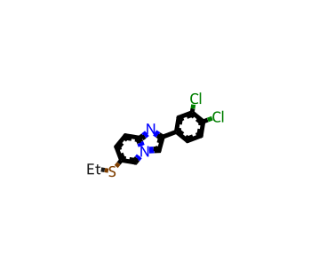 CCSc1ccc2nc(-c3ccc(Cl)c(Cl)c3)cn2c1